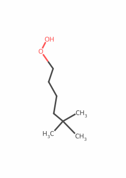 CC(C)(C)CCCCOO